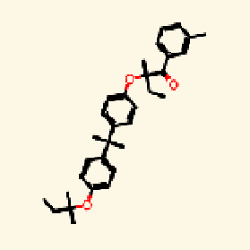 CCC(C)(C)Oc1ccc(C(C)(C)c2ccc(OC(C)(CC)C(=O)c3cccc(C)c3)cc2)cc1